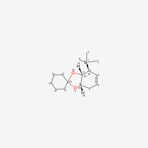 C[Si](C)(C)[C@H]1C=CC[C@@H]2OC3(CCCCC3)O[C@@H]21